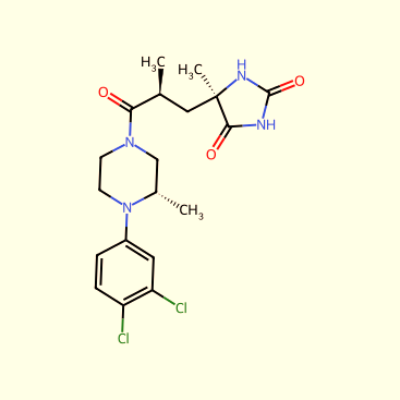 C[C@@H](C[C@@]1(C)NC(=O)NC1=O)C(=O)N1CCN(c2ccc(Cl)c(Cl)c2)[C@@H](C)C1